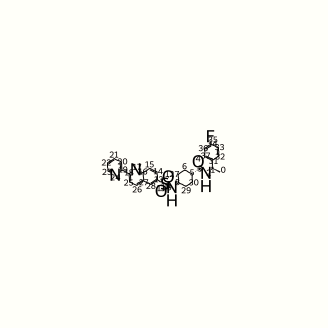 C[C@@H](NC(=O)[C@H]1CC[C@H](NS(=O)(=O)c2ccc3nc(-c4ccccn4)ccc3c2)CC1)c1ccc(F)cc1